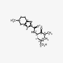 CN1CCc2nc(C(=O)N[C@@H](CNC(=O)O)C(=O)N(C)C)sc2C1